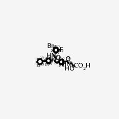 O=C(NC[C@@H](O)C(=O)O)c1ccc(CN(C(=O)Nc2cc(F)cc(Br)c2)c2ccc(C3CCCCC3)cc2)cc1